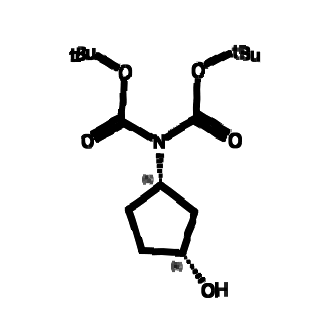 CC(C)(C)OC(=O)N(C(=O)OC(C)(C)C)[C@H]1CC[C@@H](O)C1